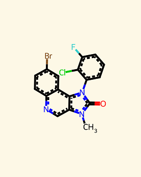 Cn1c(=O)n(-c2cccc(F)c2Cl)c2c3cc(Br)ccc3ncc21